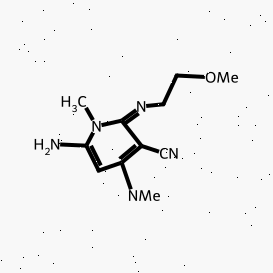 CNc1cc(N)n(C)c(=NCCOC)c1C#N